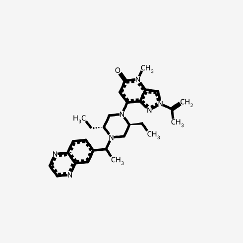 C=C(C)n1cc2c(n1)c(N1C[C@@H](CC)N(C(C)c3ccc4nccnc4c3)C[C@@H]1CC)cc(=O)n2C